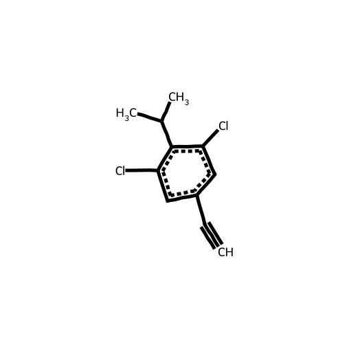 C#Cc1cc(Cl)c(C(C)C)c(Cl)c1